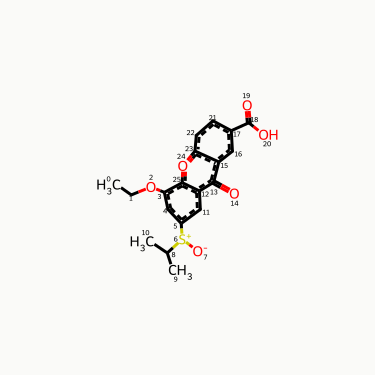 CCOc1cc([S+]([O-])C(C)C)cc2c(=O)c3cc(C(=O)O)ccc3oc12